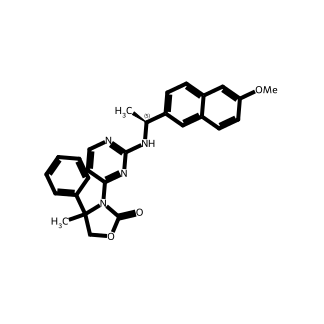 COc1ccc2cc([C@H](C)Nc3nccc(N4C(=O)OCC4(C)c4ccccc4)n3)ccc2c1